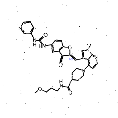 COCCCNC(=O)C1CCN(c2ccnc3c2c(/C=C2\Oc4ccc(NC(=O)Nc5cccnc5)cc4C2=O)cn3C)CC1